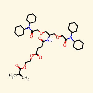 C=C(C)C(=O)OCCOC(=O)CCC(=O)NC(COCC(=O)N(C1CCCCC1)C1CCCCC1)COCC(=O)N(C1CCCCC1)C1CCCCC1